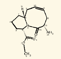 COC(=O)[C@@H]1CCC[C@@H]2CC=CC[C@H](N)C(=O)N21